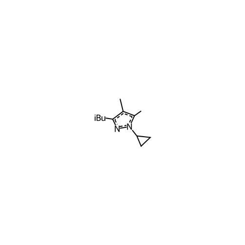 CCC(C)c1nn(C2CC2)c(C)c1C